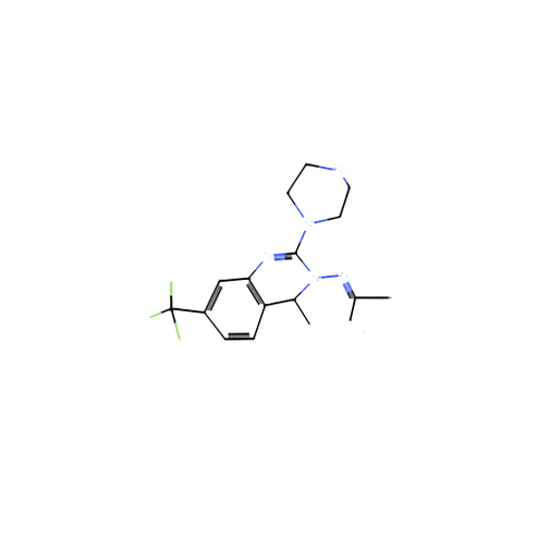 CC(C)=NN1C(N2CCNCC2)=Nc2cc(C(F)(F)F)ccc2C1C